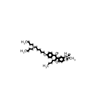 CCCCc1oc2ccc(NS(C)(=O)=O)cc2c1C(=O)c1ccc(OCCCCCN(CCCC)CCCC)cc1